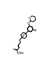 COC(=O)/C=C/CCC12CCC(c3cc(F)cc(OC4CCCCO4)c3)(CC1)OC2